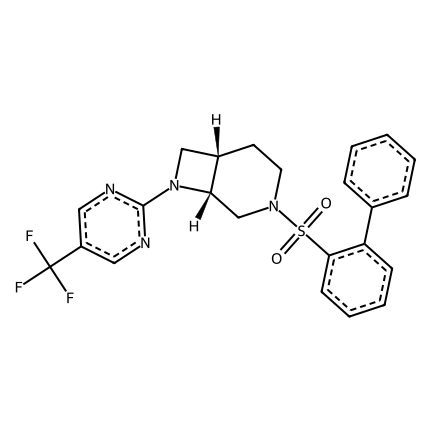 O=S(=O)(c1ccccc1-c1ccccc1)N1CC[C@H]2CN(c3ncc(C(F)(F)F)cn3)[C@H]2C1